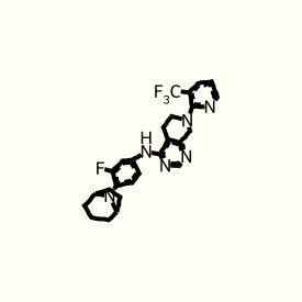 Fc1cc(Nc2ncnc3c2CCN(c2ncccc2C(F)(F)F)C3)ccc1N1C2CCCC1CC2